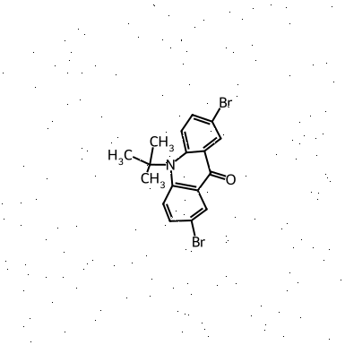 CC(C)(C)n1c2ccc(Br)cc2c(=O)c2cc(Br)ccc21